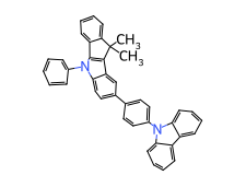 CC1(C)c2ccccc2-c2c1c1cc(-c3ccc(-n4c5ccccc5c5ccccc54)cc3)ccc1n2-c1ccccc1